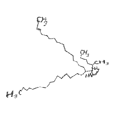 CCCCCCCCCCCCCCCC(CCCCCCCCCCCCCCC)c1[nH]cc[n+]1C(C)CCCC